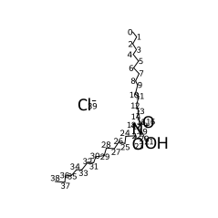 CCCCCCCCCCCCCCCC(=O)[N+](C)(CCO)C(=O)CCCCCCCCCCCCCCC.[Cl-]